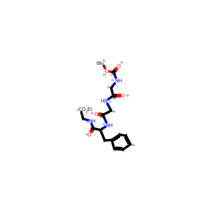 CCOC(=O)CNC(=O)C(Cc1ccccc1)NC(=O)CNC(=O)CNC(=O)OC(C)(C)C